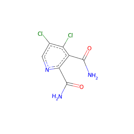 NC(=O)c1ncc(Cl)c(Cl)c1C(N)=O